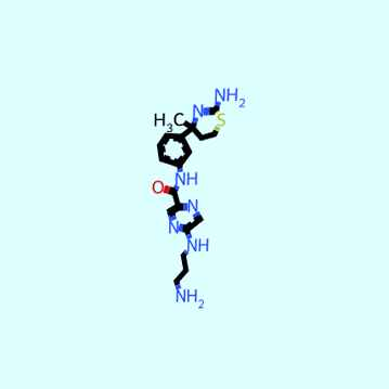 CC1(c2cccc(NC(=O)c3cnc(NCCCN)cn3)c2)CCSC(N)=N1